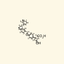 Cc1ncccc1-c1csc2ccc(COc3ccc([C@]4(CC(=O)O)C[C@H](O)C4)cc3)cc12